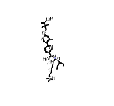 C=C(O)C(C)(C)COc1cc(C)c(-c2ccc(C(=N)/N=C(\NCOCC[SH](C)(C)(C)C)OC(CC)CC)cn2)cn1